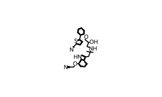 CC(C)(Cc1c[nH]c2c(OCC#N)cccc12)NC[C@H](O)COc1ccccc1-c1ccc(C#N)s1